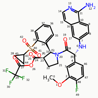 COc1cc([C@@H](Nc2ccc3c(N)nccc3c2)C(=O)N2CC[C@@H](C(=O)OC(=O)C(F)(F)F)[C@H]2c2ccccc2S(=O)(=O)C2CC2)ccc1F